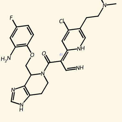 CN(C)CCC1=CN/C(=C(\C=N)C(=O)N2CCc3[nH]cnc3C2COc2ccc(F)cc2N)C=C1Cl